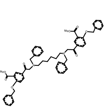 COC(=O)c1cc(C(=O)CN(CCCCCCN(CC(=O)c2ccc(OCc3ccccc3)c(C(=O)OC)c2)Cc2ccccc2)Cc2ccccc2)ccc1OCc1ccccc1